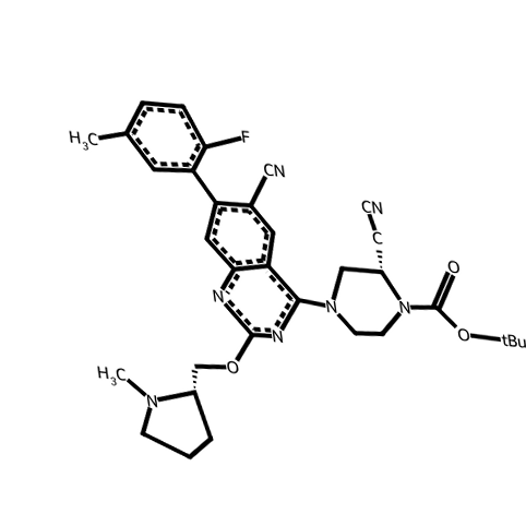 Cc1ccc(F)c(-c2cc3nc(OC[C@@H]4CCCN4C)nc(N4CCN(C(=O)OC(C)(C)C)[C@@H](CC#N)C4)c3cc2C#N)c1